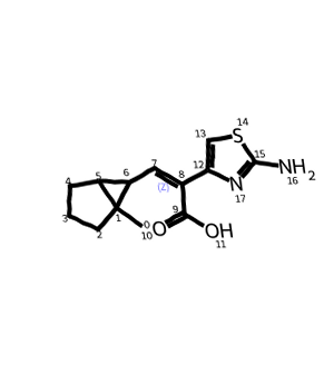 CC12CCCC1C2/C=C(\C(=O)O)c1csc(N)n1